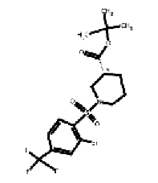 CC(C)(C)OC(=O)[C@@H]1CCCN(S(=O)(=O)c2ccc(C(F)(F)F)cc2Br)C1